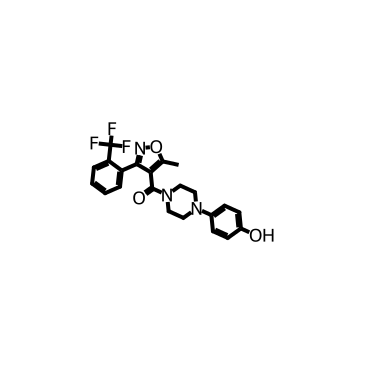 Cc1onc(-c2ccccc2C(F)(F)F)c1C(=O)N1CCN(c2ccc(O)cc2)CC1